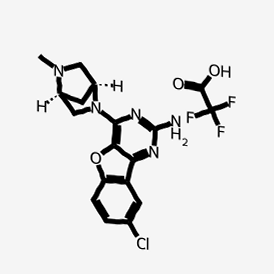 CN1C[C@@H]2C[C@H]1CN2c1nc(N)nc2c1oc1ccc(Cl)cc12.O=C(O)C(F)(F)F